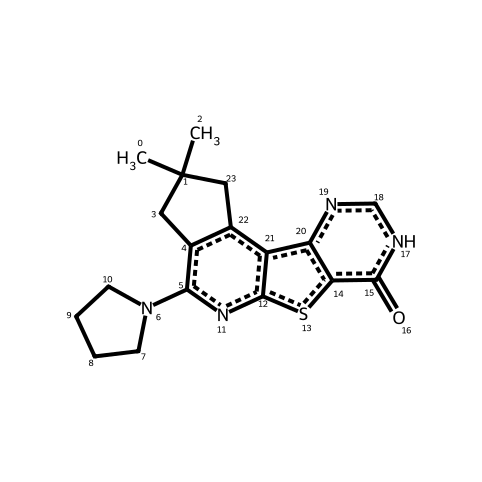 CC1(C)Cc2c(N3CCCC3)nc3sc4c(=O)[nH]cnc4c3c2C1